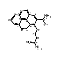 CCC(N)c1cc2ccc3cccc4ccc(c1CCCC(N)=O)c2c34